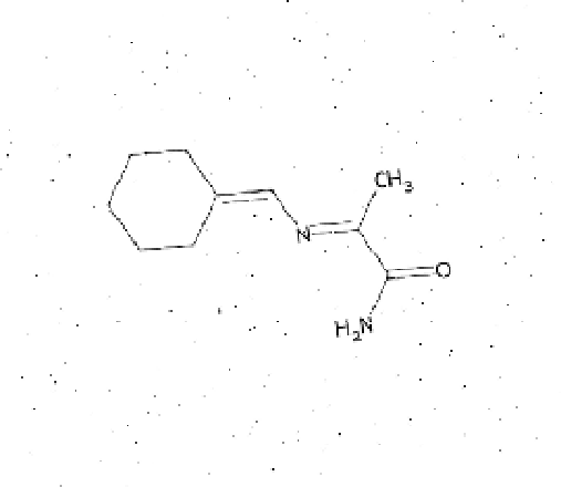 C/C(=N\C=C1CCCCC1)C(N)=O